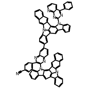 N#Cc1ccc(-c2nc3cc(-c4ccc5c(c4)c4cc6c7ccccc7n(-c7nc(-c8ccccc8)c8cccnc8n7)c6c6c7cc8ccccc8cc7n5c46)ccc3nc2-n2c3ccccc3c3cc4c5ccccc5n5c6cc7ccccc7cc6c(c32)c45)cc1